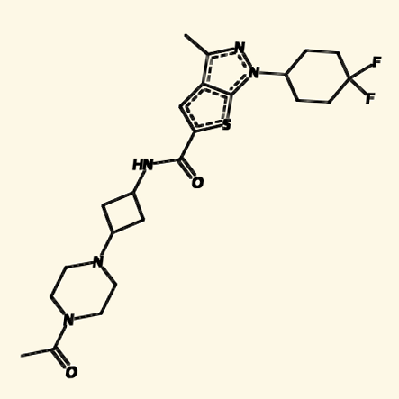 CC(=O)N1CCN(C2CC(NC(=O)c3cc4c(C)nn(C5CCC(F)(F)CC5)c4s3)C2)CC1